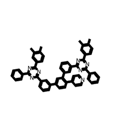 Cc1ccc(-c2nc(-c3ccccc3)nc(-c3cccc(-c4ccc(-c5ccncc5)c(-c5cccc(-c6nc(-c7ccccc7)nc(-c7ccc(C)c(C)c7)n6)c5)c4)c3)n2)cc1C